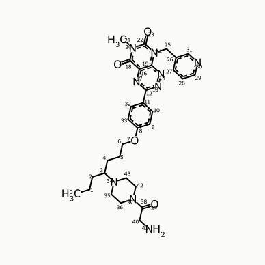 CCCC(CCCOc1ccc(-c2nnc3c(n2)c(=O)n(C)c(=O)n3Cc2cccnc2)cc1)N1CCN(C(=O)CN)CC1